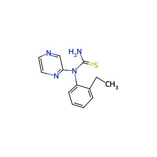 CCc1ccccc1N(C(N)=S)c1cnccn1